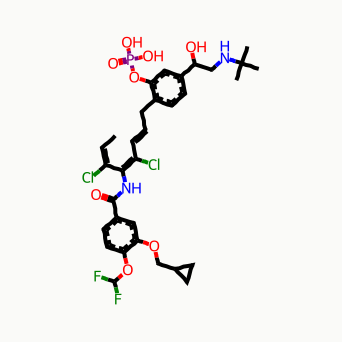 C\C=C(Cl)/C(NC(=O)c1ccc(OC(F)F)c(OCC2CC2)c1)=C(Cl)\C=C\Cc1ccc(C(O)CNC(C)(C)C)cc1OP(=O)(O)O